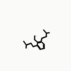 [CH2]Cc1c(CCC(C)C)cccc1CCC(C)C